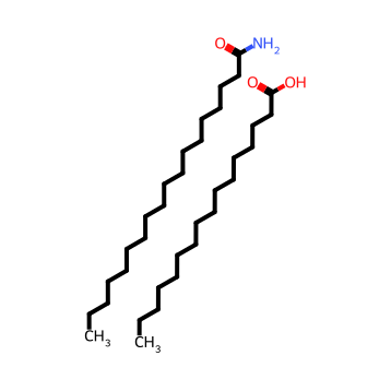 CCCCCCCCCCCCCCCC(=O)O.CCCCCCCCCCCCCCCCCC(N)=O